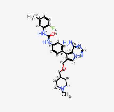 Cc1ccc(F)c(NC(=O)Nc2ccc(-c3c(COCC4CCN(C)CC4)cn4ncnc(N)c34)cc2)c1